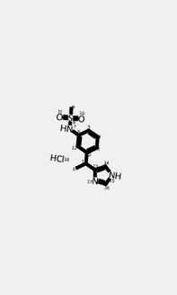 CC(c1cccc(NS(C)(=O)=O)c1)c1c[nH]cn1.Cl